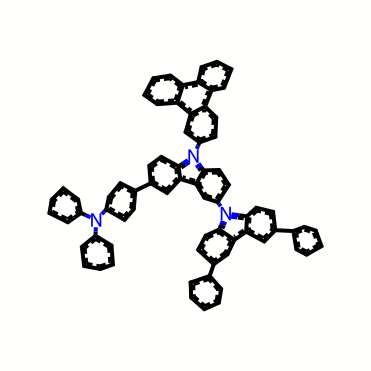 c1ccc(-c2ccc3c(c2)c2cc(-c4ccccc4)ccc2n3-c2ccc3c(c2)c2cc(-c4ccc(N(c5ccccc5)c5ccccc5)cc4)ccc2n3-c2ccc3c4ccccc4c4ccccc4c3c2)cc1